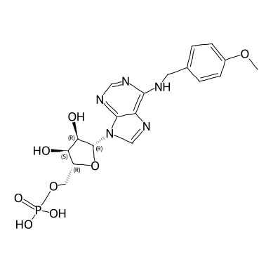 COc1ccc(CNc2ncnc3c2ncn3[C@@H]2O[C@H](COP(=O)(O)O)[C@@H](O)[C@H]2O)cc1